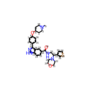 CN1CCC(Oc2ccc(-c3n[nH]c4ccc(C(=O)NCC(c5ccsc5)N5CCOCC5)cc34)cc2)CC1